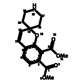 COC(=O)c1ccc2c(c1C(=O)OC)OC1(C=C2)CCNCC1